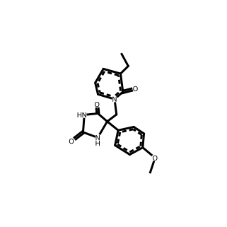 CCc1cccn(CC2(c3ccc(OC)cc3)NC(=O)NC2=O)c1=O